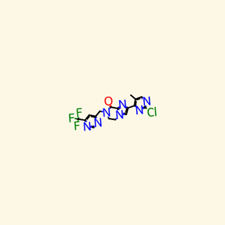 Cc1cnc(Cl)nc1-c1cn2c(n1)C(=O)N(Cc1cc(C(F)(F)F)ncn1)CC2